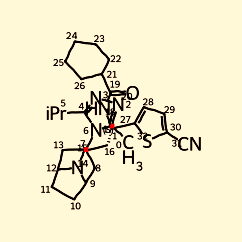 Cc1nnc(C(C)C)n1C1CC2CCC(C1)N2CC[C@H](NC(=O)C1CCCCC1)c1ccc(C#N)s1